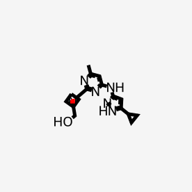 Cc1cc(Nc2cc(C3CC3)[nH]n2)nc(N2CC3(CO)CC2C3)n1